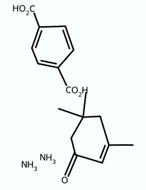 CC1=CC(=O)CC(C)(C)C1.N.N.O=C(O)c1ccc(C(=O)O)cc1